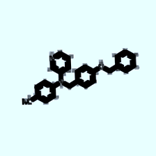 N#Cc1ccc(N(Cc2ccc(OCc3ccccc3)cc2)c2cccnc2)cc1